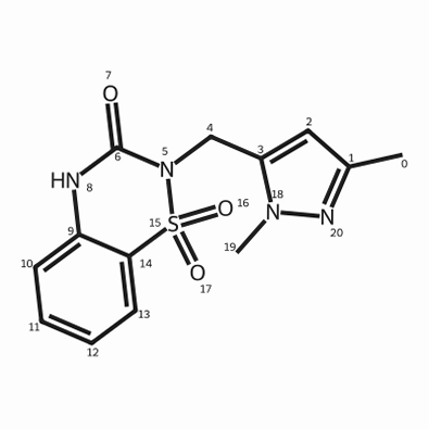 Cc1cc(CN2C(=O)Nc3ccccc3S2(=O)=O)n(C)n1